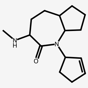 CNC1CCC2CCCC2N(C2C=CCC2)C1=O